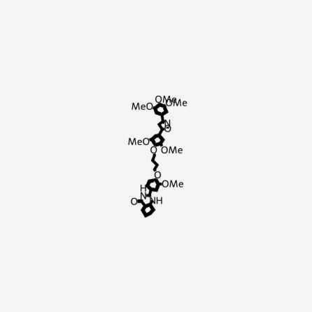 COc1cc(C2NC(=O)c3ccccc3N2)ccc1OCCCCOc1c(OC)cc(C2CC(c3cc(OC)c(OC)c(OC)c3)=NO2)cc1OC